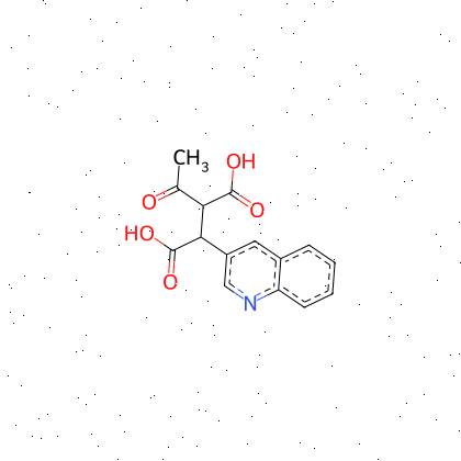 CC(=O)C(C(=O)O)C(C(=O)O)c1cnc2ccccc2c1